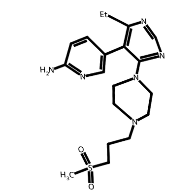 CCc1ncnc(N2CCN(CCCS(C)(=O)=O)CC2)c1-c1ccc(N)nc1